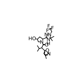 Cc1cc(C(C(=O)N2CC(O)CC2C2=NN(CC(F)(F)F)C(C)(C)N2)C(C)C)on1